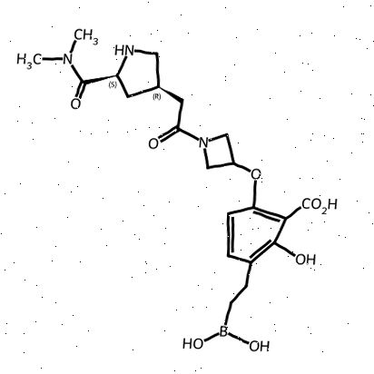 CN(C)C(=O)[C@@H]1C[C@H](CC(=O)N2CC(Oc3ccc(CCB(O)O)c(O)c3C(=O)O)C2)CN1